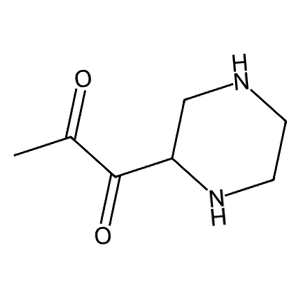 CC(=O)C(=O)C1CNCCN1